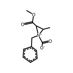 COC(=O)C1C(C)[N+]1(Cc1ccccc1)C(=O)[O-]